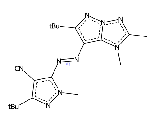 [C-]#[N+]c1c(C(C)(C)C)nn(C)c1/N=N/c1c(C(C)(C)C)nn2nc(C)n(C)c12